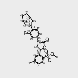 COS(=O)(=O)c1ccc(C)cc1C1CN(c2ccc(N3CC4CCC(C3)O4)c(F)c2)C(=O)O1